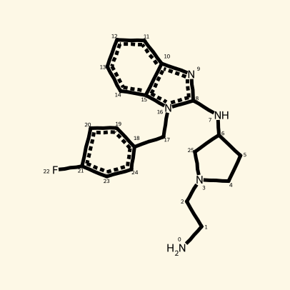 NCCN1CCC(Nc2nc3ccccc3n2Cc2ccc(F)cc2)C1